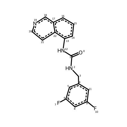 O=C(NCc1cc(F)cc(F)c1)Nc1cccc2cnccc12